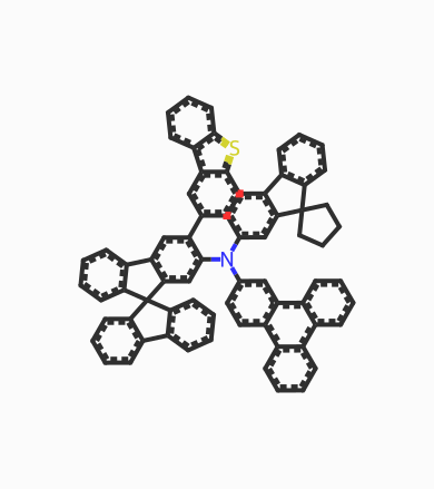 c1ccc2c(c1)-c1ccc(N(c3ccc4c5ccccc5c5ccccc5c4c3)c3cc4c(cc3-c3ccc5sc6ccccc6c5c3)-c3ccccc3C43c4ccccc4-c4ccccc43)cc1C21CCCC1